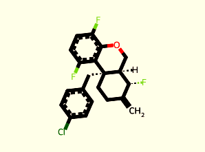 C=C1CC[C@@]2(Cc3ccc(Cl)cc3)c3c(F)ccc(F)c3OC[C@H]2[C@@H]1F